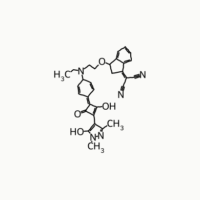 CCN(CCOC1CC(=C(C#N)C#N)c2ccccc21)C1C=CC(=C2C(=O)C(c3c(C)nn(C)c3O)=C2O)C=C1